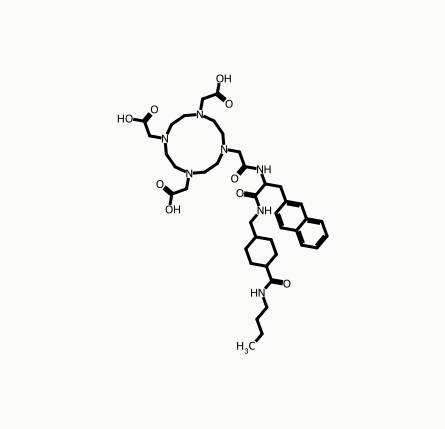 CCCCNC(=O)C1CCC(CNC(=O)C(Cc2ccc3ccccc3c2)NC(=O)CN2CCN(CC(=O)O)CCN(CC(=O)O)CCN(CC(=O)O)CC2)CC1